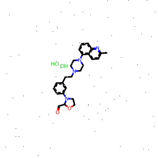 Cc1ccc2c(N3CCN(CCc4cccc(N5CCOC5C=O)c4)CC3)cccc2n1.Cl.Cl